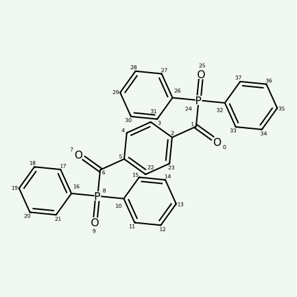 O=C(c1ccc(C(=O)P(=O)(c2ccccc2)c2ccccc2)cc1)P(=O)(c1ccccc1)c1ccccc1